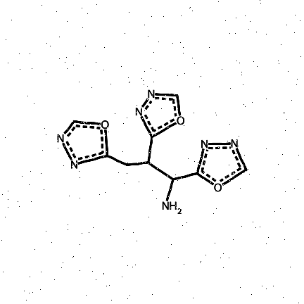 NC(c1nnco1)C(Cc1nnco1)c1nnco1